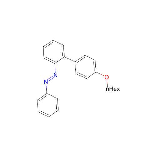 CCCCCCOc1ccc(-c2ccccc2N=Nc2ccccc2)cc1